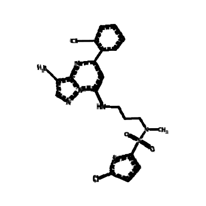 Bc1cnn2c(NCCCN(C)S(=O)(=O)c3ccc(Cl)s3)cc(-c3ccccc3Cl)nc12